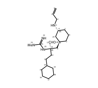 C=CCN[C@@H]1CCC[C@@H](C[C@@](C=O)(CCC2CCCCC2)NC(=N)NC)C1